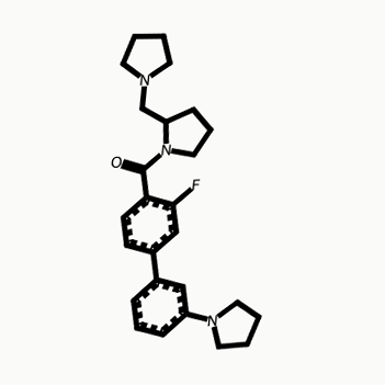 O=C(c1ccc(-c2cccc(N3CCCC3)c2)cc1F)N1CCCC1CN1CCCC1